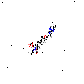 CCc1cnc(N2CCC(COc3ccc(C4=CCC(C(=O)N(C)CCO)CC4)cc3)CC2)nc1